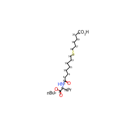 CCCCOC(=O)C(NC(=O)CCCCCCCSCCCCCC(=O)O)C(C)C